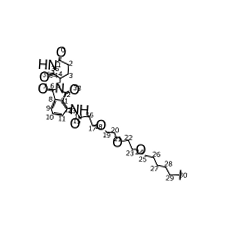 O=C1CCC(N2C(=O)c3cccc(NC(=O)CCOCCOCCOCCCCCI)c3C2=O)C(=O)N1